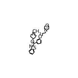 CN1CCC(OC(c2cccc(OCCCN3CCOCC3)c2)c2nc3ccccc3s2)CC1